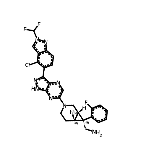 NC[C@]1(c2ccccc2F)[C@@H]2CCN(c3cnc4c(-c5ccc6nn(C(F)F)cc6c5Cl)n[nH]c4n3)C[C@@H]21